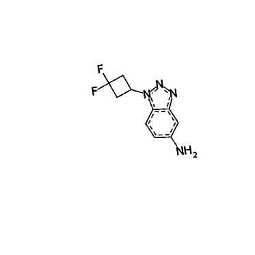 Nc1ccc2c(c1)nnn2C1CC(F)(F)C1